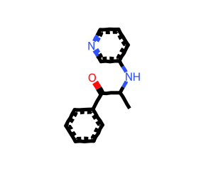 CC(Nc1cccnc1)C(=O)c1ccccc1